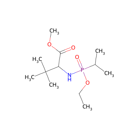 CCOP(=O)(NC(C(=O)OC)C(C)(C)C)C(C)C